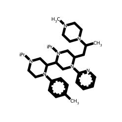 Cc1ccc(N2CCN(C(C)C)CC2C2CN(c3ccccn3)C(CC(C)N3CCN(C)CC3)CN2C(C)C)cc1